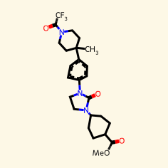 COC(=O)C1CCC(N2CCN(c3ccc(C4(C)CCN(C(=O)C(F)(F)F)CC4)cc3)C2=O)CC1